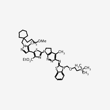 CCOC(=O)c1nc(N2CCc3c2nnc(/N=c2\sc4ccccc4n2COCC[Si](C)(C)C)c3C)sc1-c1cnn(CC2(CCCOC)CCCCC2)c1C